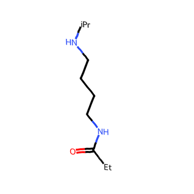 CCC(=O)NCCCCNC(C)C